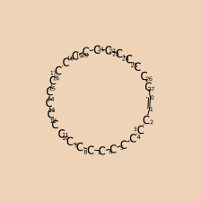 [C]1=CCCCCCCCCCCCCCCCCCCCCCCCCCC1